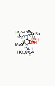 CCCCC1(CCCC)CN(c2ccc(F)cc2)c2cc(SC)c(CNC3(C(=O)O)CC3)cc2S(O)(O)C1